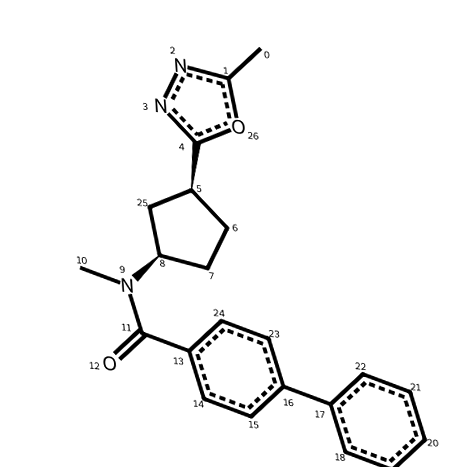 Cc1nnc([C@H]2CC[C@@H](N(C)C(=O)c3ccc(-c4ccccc4)cc3)C2)o1